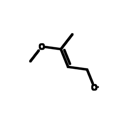 COC(C)=CC[O]